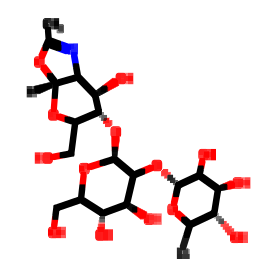 CCC1O[C@H](OC2[C@H](O[C@@H]3C(CO)O[C@@H]4OC(C)=NC4[C@H]3O)OC(CO)[C@@H](O)[C@@H]2O)C(O)[C@@H](O)[C@@H]1O